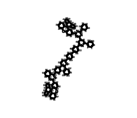 c1ccc(-c2cc(-c3nc(-c4ccccc4)nc(-c4ccc5c(c4)C4(c6ccccc6O5)c5ccccc5-c5ccccc54)n3)cc(-c3ccc(-c4ccc(-c5ccc(-c6ccc(-c7nc(-c8ccc9c(c8)C8(c%10ccccc%10O9)c9ccccc9-c9ccccc98)nc8ccccc78)cc6)c(-c6ccccc6)n5)cc4)cc3)n2)cc1